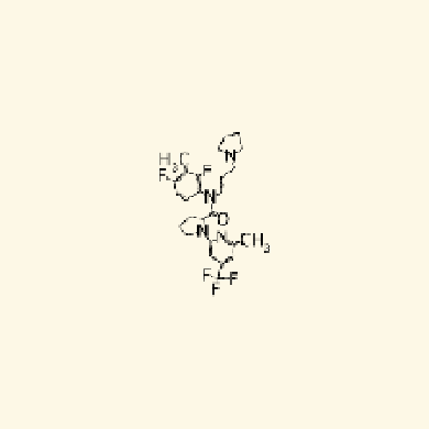 Cc1cc(C(F)(F)F)cc(N2CCC[C@H]2C(=O)N(CCCN2CCCC2)c2ccc(F)c(C)c2F)n1